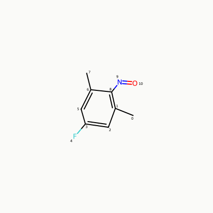 Cc1cc(F)cc(C)c1N=O